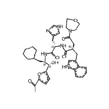 CC(=O)c1ccc([C@@H](O)[C@@H](CC2CCCCC2)NC(=O)[C@H](Cc2c[nH]cn2)NC(=O)[C@@H](CC(=O)N2CCOCC2)Cc2c[nH]c3ccccc23)o1